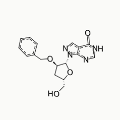 O=c1[nH]cnc2c1cnn2[C@@H]1O[C@H](CO)C[C@H]1OCc1ccccc1